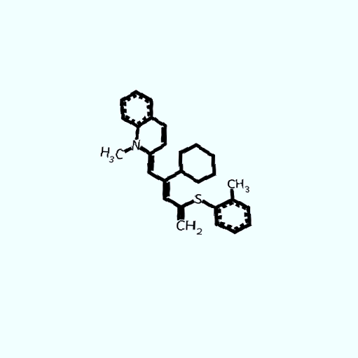 C=C(/C=C(/C=C1\C=Cc2ccccc2N1C)C1CCCCC1)Sc1ccccc1C